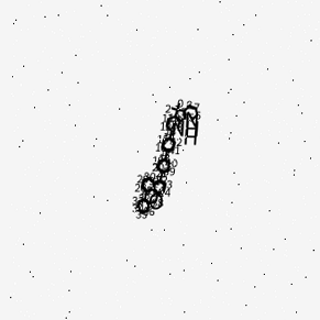 CC1(C)C2=C(NCC=C2)C2=C1C=CC(c1ccc(-c3ccc(-c4ccc5c6c(cccc46)-c4ccccc4O5)cc3)cc1)N2